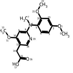 COc1ccc(N(C)c2cc(OC)c(CC(=O)O)cn2)c(OC)c1